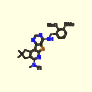 CCN(C)c1nc2sc3c(NCc4cccc(OC)c4OC)ncnc3c2c2c1CC(C)(C)C2